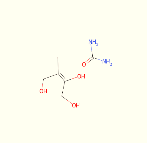 CC(CO)=C(O)CO.NC(N)=O